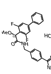 CO[C@H](C(=O)NCc1ccc(C(=N)N)cc1)c1c(F)cc(-c2ccccc2)cc1F.Cl